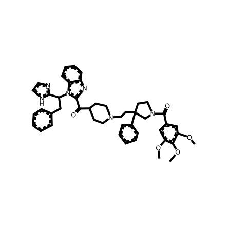 COc1cc(C(=O)N2CCC(CCN3CCC(C(=O)c4nc5ccccc5n4C(Cc4ccccc4)c4ncc[nH]4)CC3)(c3ccccc3)C2)cc(OC)c1OC